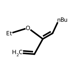 C=CC(=CCCCC)OCC